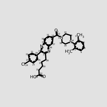 Cc1cccc(C)c1N1CCN(C(=O)c2ccc3nc(-c4ccc(Cl)cc4)c(CCCCC(=O)O)nc3c2)CC1